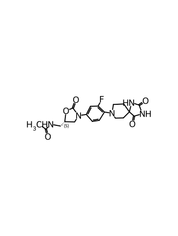 CC(=O)NC[C@H]1CN(c2ccc(N3CCC4(CC3)NC(=O)NC4=O)c(F)c2)C(=O)O1